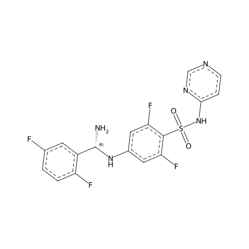 N[C@H](Nc1cc(F)c(S(=O)(=O)Nc2ccncn2)c(F)c1)c1cc(F)ccc1F